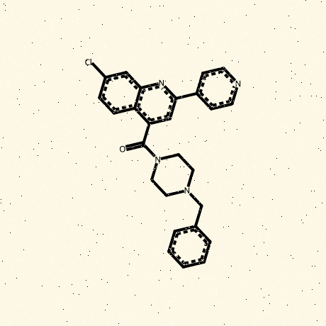 O=C(c1cc(-c2ccncc2)nc2cc(Cl)ccc12)N1CCN(Cc2ccccc2)CC1